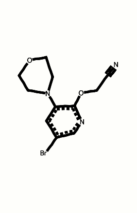 N#CCOc1ncc(Br)cc1N1CCOCC1